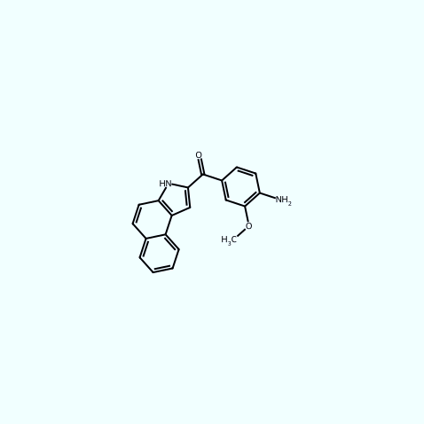 COc1cc(C(=O)c2cc3c(ccc4ccccc43)[nH]2)ccc1N